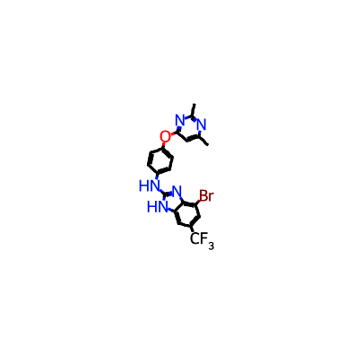 Cc1cc(Oc2ccc(Nc3nc4c(Br)cc(C(F)(F)F)cc4[nH]3)cc2)nc(C)n1